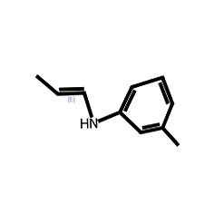 C/C=C/Nc1cccc(C)c1